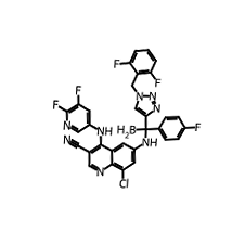 BC(Nc1cc(Cl)c2ncc(C#N)c(Nc3cnc(F)c(F)c3)c2c1)(c1ccc(F)cc1)c1cn(Cc2c(F)cccc2F)nn1